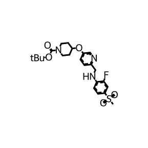 CC(C)(C)OC(=O)N1CCC(Oc2ccc(CNc3ccc(S(C)(=O)=O)cc3F)nc2)CC1